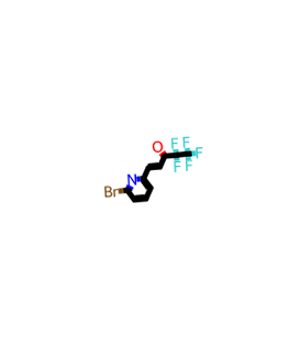 O=C(/C=C/c1cccc(Br)n1)C(F)(F)C(F)(F)F